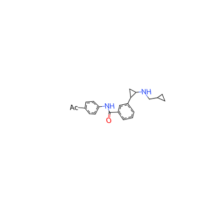 CC(=O)c1ccc(NC(=O)c2cccc(C3CC3NCC3CC3)c2)cc1